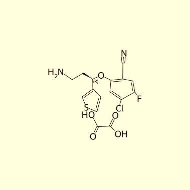 N#Cc1cc(F)c(Cl)cc1O[C@H](CCN)c1ccsc1.O=C(O)C(=O)O